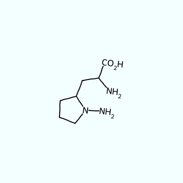 NC(CC1CCCN1N)C(=O)O